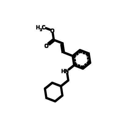 COC(=O)/C=C/c1ccccc1NCC1CCCCC1